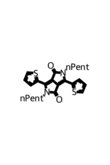 CCCCCN1C(=O)C2=C(c3cccs3)N(CCCCC)C(=O)C2=C1c1cccs1